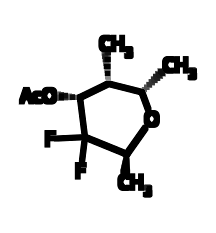 CC(=O)O[C@@H]1[C@H](C)[C@H](C)O[C@@H](C)C1(F)F